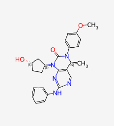 COc1ccc(N2C(=O)N([C@H]3CC[C@H](O)C3)c3nc(Nc4ccccc4)ncc3[C@@H]2C)cc1